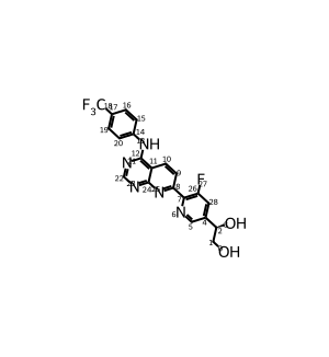 OC[C@H](O)c1cnc(-c2ccc3c(Nc4ccc(C(F)(F)F)cc4)ncnc3n2)c(F)c1